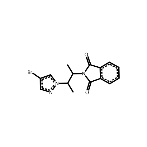 CC(C(C)n1cc(Br)cn1)N1C(=O)c2ccccc2C1=O